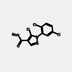 CNC(=O)c1cnn(-c2cc(Cl)ccc2Cl)c1Cl